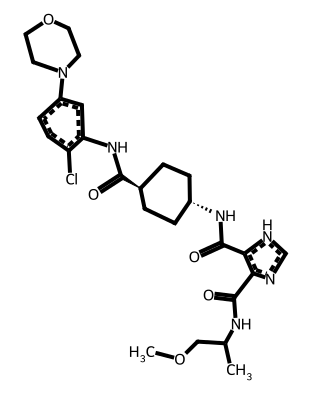 COCC(C)NC(=O)c1nc[nH]c1C(=O)N[C@H]1CC[C@H](C(=O)Nc2cc(N3CCOCC3)ccc2Cl)CC1